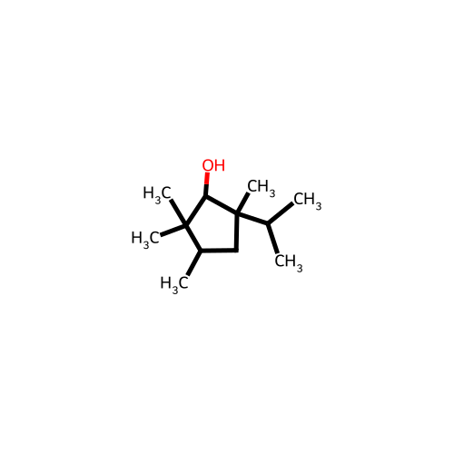 CC1CC(C)(C(C)C)C(O)C1(C)C